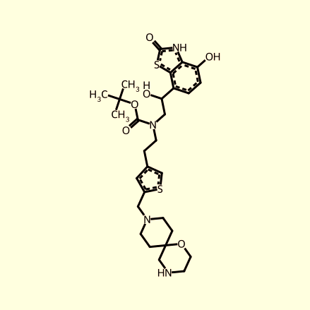 CC(C)(C)OC(=O)N(CCc1csc(CN2CCC3(CC2)CNCCO3)c1)CC(O)c1ccc(O)c2[nH]c(=O)sc12